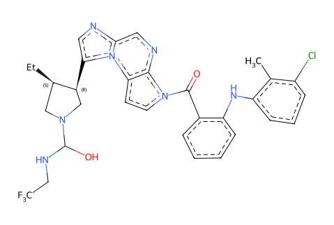 CC[C@@H]1CN(C(O)NCC(F)(F)F)C[C@@H]1c1cnc2cnc3c(ccn3C(=O)c3ccccc3Nc3cccc(Cl)c3C)n12